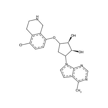 Cc1ncnc2c1ccn2C1CC(Oc2ccc(Cl)c3c2CNCC3)[C@@H](O)[C@H]1O